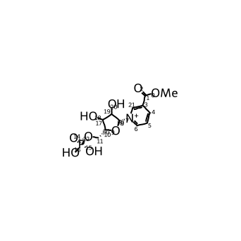 COC(=O)c1ccc[n+]([C@@H]2O[C@H](COP(=O)(O)O)C(O)C2O)c1